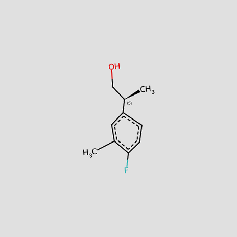 Cc1cc([C@H](C)CO)ccc1F